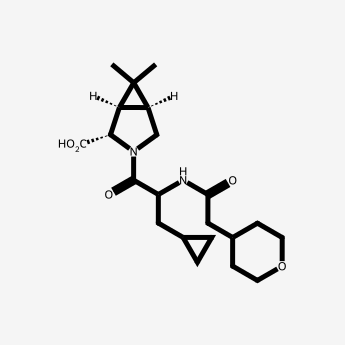 CC1(C)[C@@H]2[C@@H](C(=O)O)N(C(=O)C(CC3CC3)NC(=O)CC3CCOCC3)C[C@@H]21